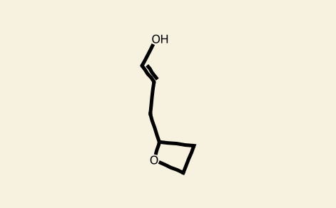 O/C=C/CC1CCO1